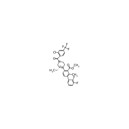 CC[C@@H]1CN(C(=O)c2ccc(C(F)(F)F)cc2Cl)CCN1c1ccc(-c2cccc(F)c2F)c(C)c1C(=O)OC